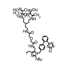 C=C(NCCC(CCNC(=O)COCC(=O)NCc1c(CI)nc(CCCC)n1Cc1ccc(-c2ccccc2-c2nn[nH]n2)cc1)CCNC(C)(C)/C(C)=N\O)/C(C)=N\O